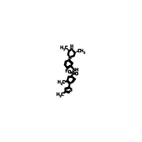 Cc1csc(-c2ccc(S(=O)(=O)Nc3cc(N4C[C@@H](C)N[C@@H](C)C4)ccc3F)cc2C)c1